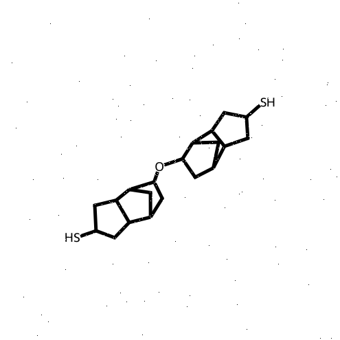 SC1CC2C3CC(OC4CC5CC4C4CC(S)CC54)C(C3)C2C1